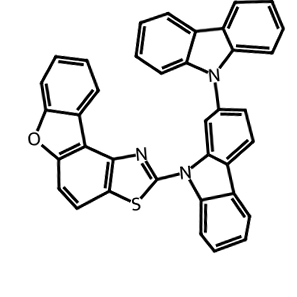 c1ccc2c(c1)oc1ccc3sc(-n4c5ccccc5c5ccc(-n6c7ccccc7c7ccccc76)cc54)nc3c12